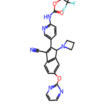 C[C@@H](OC(=O)Nc1ccc(C2=C(C#N)c3ccc(Oc4ncccn4)cc3C2N2CCC2)cn1)C(F)(F)F